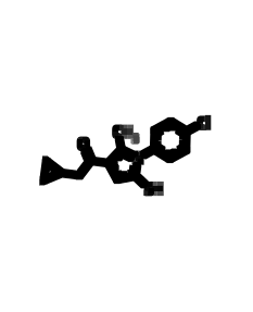 Cc1c(C(=O)CC2CC2)cc(S)n1-c1ccc(Cl)cc1